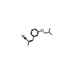 CC(C#N)=Cc1cccc(OCC(C)C)c1